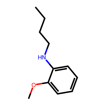 CCCCNc1ccccc1OC